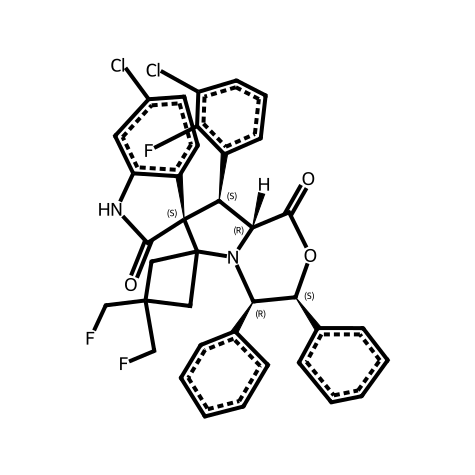 O=C1O[C@@H](c2ccccc2)[C@@H](c2ccccc2)N2[C@@H]1[C@H](c1cccc(Cl)c1F)[C@@]1(C(=O)Nc3cc(Cl)ccc31)C21CC(CF)(CF)C1